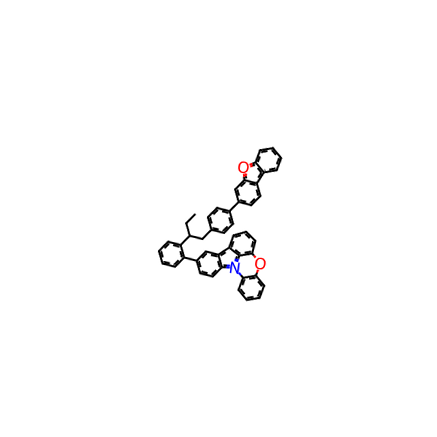 CCC(Cc1ccc(-c2ccc3c(c2)oc2ccccc23)cc1)c1ccccc1-c1ccc2c(c1)c1cccc3c1n2-c1ccccc1O3